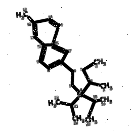 CCC(C)[Si](CCc1ccc2cc(C)ccc2c1)(C(C)C)C(C)C